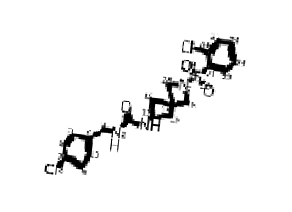 O=C(NCc1ccc(Cl)cc1)NC1CC2(C1)CN(S(=O)(=O)c1ccccc1Cl)C2